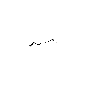 C=C[CH2][SnH2][O][C]=O